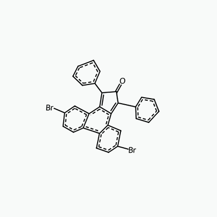 O=C1C(c2ccccc2)=c2c(c3cc(Br)ccc3c3ccc(Br)cc23)=C1c1ccccc1